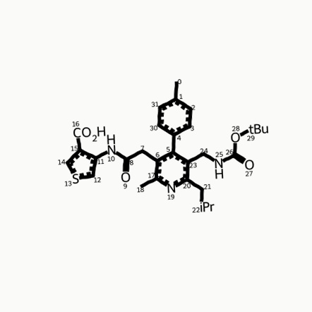 Cc1ccc(-c2c(CC(=O)Nc3cscc3C(=O)O)c(C)nc(CC(C)C)c2CNC(=O)OC(C)(C)C)cc1